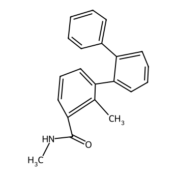 CNC(=O)c1cccc(-c2ccccc2-c2ccccc2)c1C